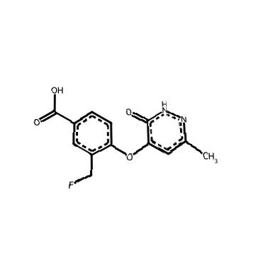 Cc1cc(Oc2ccc(C(=O)O)cc2CF)c(=O)[nH]n1